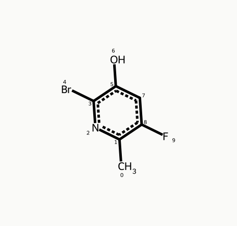 Cc1nc(Br)c(O)cc1F